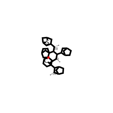 C[C@@H](C1CC2CC(C1)S2)C(C(C1CC2CCC1C2)[C@H](C)C1CC2CCC1(C1C3CCC(C3)[C@@H]1C)CC2)C12CCC(CC1)C2